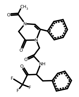 CC(=O)N1C=C(c2ccccc2)N(CC(=O)NC(Cc2ccccc2)C(=O)C(F)(F)F)C(=O)C1